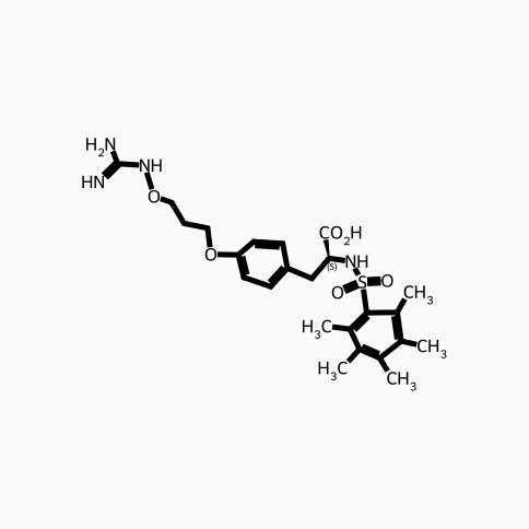 Cc1c(C)c(C)c(S(=O)(=O)N[C@@H](Cc2ccc(OCCCONC(=N)N)cc2)C(=O)O)c(C)c1C